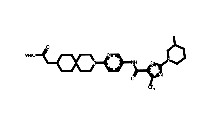 COC(=O)CC1CCC2(CC1)CCN(c1ccc(NC(=O)c3oc(N4CCCC(C)C4)nc3C(F)(F)F)cn1)CC2